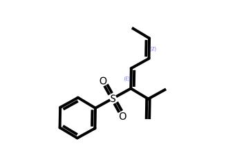 C=C(C)/C(=C\C=C/C)S(=O)(=O)c1ccccc1